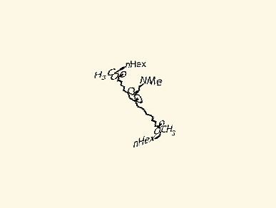 CCCCCCC#CC(C)OC(=O)CCCCCCCC(CCCCCCCC(=O)OC(C)/C=C\CCCCCC)OC(=O)CCCNC